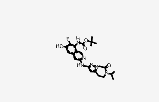 CC(C)N1CCc2cc(Nc3cc4cc(O)c(F)c(NC(=O)OC(C)(C)C)c4cn3)nn2CC1=O